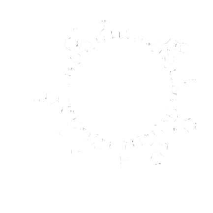 CCCC[C@H]1C(=O)N[C@@H](CC(C)C)C(=O)N[C@H](C(=O)NCC(N)=O)CSCC(=O)N[C@@H](Cc2ccc(O)cc2)C(=O)N(C)[C@@H](C)C(=O)N[C@@H](CC(N)=O)C(=O)N2CCC[C@H]2C(=O)N[C@@H](Cc2cnc[nH]2)C(=O)N[C@@H](CCC(=O)O)C(=O)N2C[C@H](O)C[C@H]2C(=O)N[C@@H](Cc2c[nH]c3ccccc23)C(=O)N[C@@H](CCN)C(=O)N[C@@H](Cc2c[nH]c3ccccc23)C(=O)N(CCC(F)(F)F)CC(=O)N1C